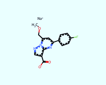 COCc1cc(-c2ccc(F)cc2)nc2c(C(=O)[O-])cnn12.[Na+]